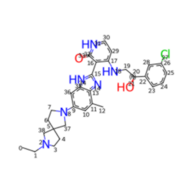 CCN1CCC2(CCN(c3cc(C)c4nc(-c5c(NC[C@H](O)c6cccc(Cl)c6)cc[nH]c5=O)[nH]c4c3)C2)C1